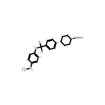 CCCCC[C@H]1CC[C@H](c2ccc(C(F)(F)Oc3ccc(OC(F)(F)F)cc3)cc2)CC1